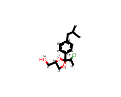 CC(C)Cc1ccc(C2(C(C)Cl)OCC(CO)O2)cc1